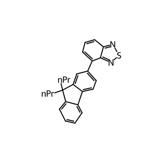 CCCC1(CCC)c2ccccc2-c2ccc(-c3cccc4nsnc34)cc21